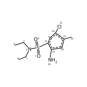 CCN(CC)S(=O)(=O)c1cc(Cl)c(C)cc1N